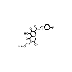 CCCOCCN1C(=O)c2c(O)c(=O)c(C(=O)NCc3ccc(F)cc3)cn2CC1O